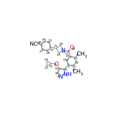 Cc1cc(C)c(-c2[nH]ncc2OC2CC2)cc1C(=O)N1CC(c2ccc(C#N)cc2)C1